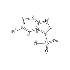 CC(C)c1ccc2ncc(S(=O)(=O)Cl)n2n1